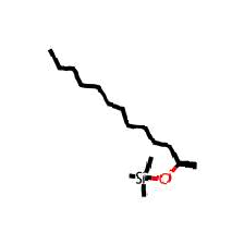 C=C(CCCCCCCCCCC)O[Si](C)(C)C